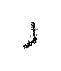 Cc1ccc(Oc2ccc(Nc3ncnc4ccc(NC(=O)CCCNC(=O)CN5CCN(C)CC5)cc34)cc2C)cn1